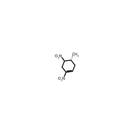 C[C@@H]1CC=C([N+](=O)[O-])CC1[N+](=O)[O-]